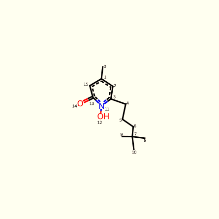 Cc1cc(CCCC(C)(C)C)n(O)c(=O)c1